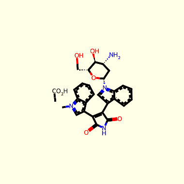 CC(=O)O.Cn1cc(C2=C(c3cn([C@H]4C[C@@H](N)[C@H](O)[C@@H](CO)O4)c4ccccc34)C(=O)NC2=O)c2ccccc21